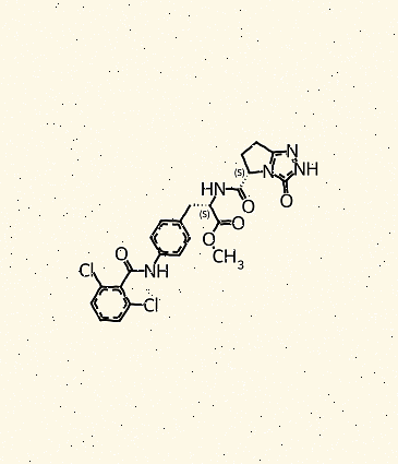 COC(=O)[C@H](Cc1ccc(NC(=O)c2c(Cl)cccc2Cl)cc1)NC(=O)[C@@H]1CCc2n[nH]c(=O)n21